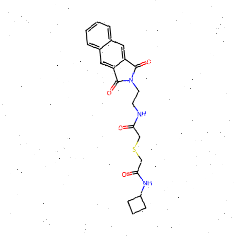 O=C(CSCC(=O)NC1CCC1)NCCN1C(=O)c2cc3ccccc3cc2C1=O